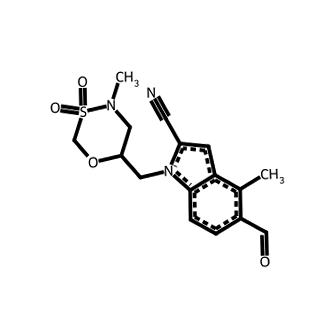 Cc1c(C=O)ccc2c1cc(C#N)n2CC1CN(C)S(=O)(=O)CO1